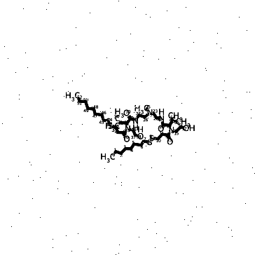 CCCCCCCCSSCCC(=O)N(CCO)C(C(=O)NCCN(C)CCNC(=O)C(C(C)C)N(CCO)C(=O)CCSSCCCCCCCC)C(C)C